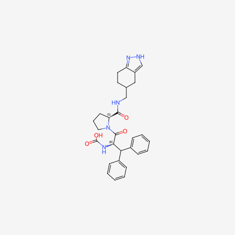 O=C(O)N[C@@H](C(=O)N1CCC[C@H]1C(=O)NCC1CCc2n[nH]cc2C1)C(c1ccccc1)c1ccccc1